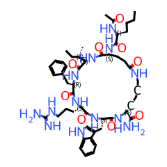 CCCC[C@H](NC(C)=O)C(=O)N[C@H]1CCC(=O)NCCCC[C@@H](C(N)=O)NC(=O)[C@H](Cc2c[nH]c3ccccc23)NC(=O)[C@H](CCCNC(=N)N)NC(=O)[C@@H](Cc2ccccc2)NC(=O)[C@H]([C@@H](C)CC)NC1=O